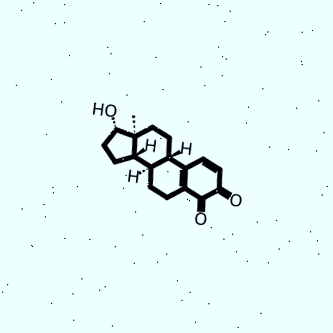 C[C@]12CC[C@@H]3C4=C(CC[C@H]3[C@@H]1CC[C@@H]2O)C(=O)C(=O)C=C4